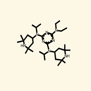 CCN(CC)c1nc(N(C(C)C)C2CC(C)(C)NC(C)(C)C2)nc(N(C(C)C)C2CC(C)(C)NC(C)(C)C2)n1